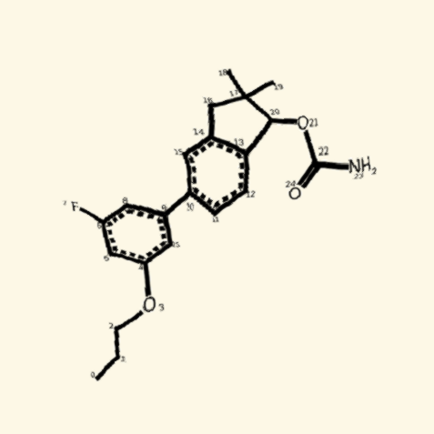 CCCOc1cc(F)cc(-c2ccc3c(c2)CC(C)(C)C3OC(N)=O)c1